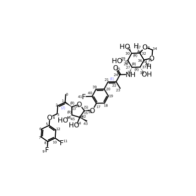 C/C(=C/COc1ccc(F)c(F)c1)[C@H]1O[C@@H](Oc2ccc(/C=C(\C)C(=O)N[C@@H]3[C@H](O)[C@@H](O)[C@H]4OCO[C@H]4[C@@H]3O)cc2F)[C@](C)(O)[C@@H]1O